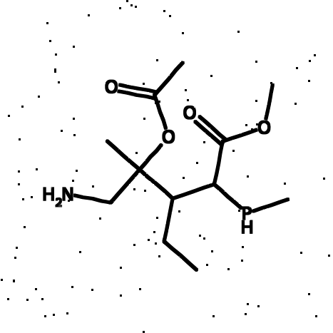 CCC(C(PC)C(=O)OC)C(C)(CN)OC(C)=O